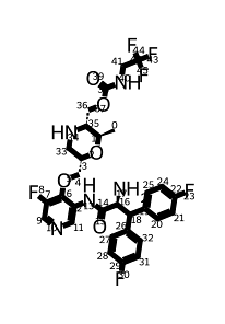 C[C@H]1O[C@H](COc2c(F)cncc2NC(=O)[C@@H](N)C(c2ccc(F)cc2)c2ccc(F)cc2)CN[C@@H]1COC(=O)NCC(F)(F)F